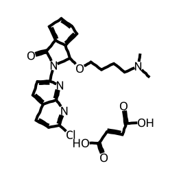 CN(C)CCCCOC1c2ccccc2C(=O)N1c1ccc2ccc(Cl)nc2n1.O=C(O)/C=C/C(=O)O